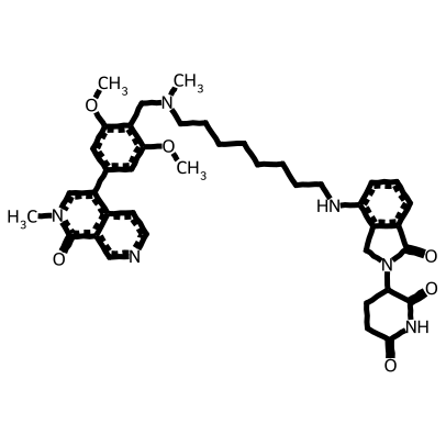 COc1cc(-c2cn(C)c(=O)c3cnccc23)cc(OC)c1CN(C)CCCCCCCCNc1cccc2c1CN(C1CCC(=O)NC1=O)C2=O